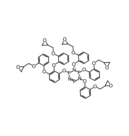 c1ccc(Oc2cccc(Op3npn(Oc4ccccc4OCC4CO4)p(Oc4ccccc4OCC4CO4)n3Oc3ccccc3OCC3CO3)c2Oc2ccccc2OCC2CO2)c(OCC2CO2)c1